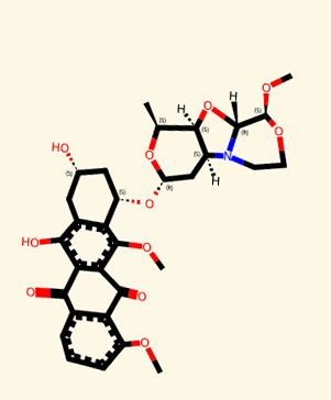 COc1cccc2c1C(=O)c1c(OC)c3c(c(O)c1C2=O)C[C@H](O)C[C@@H]3O[C@H]1C[C@H]2[C@H](O[C@@H]3[C@@H](OC)OCCN32)[C@H](C)O1